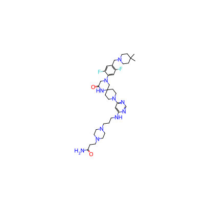 CC1(C)CCN(Cc2cc(F)c(N3CC(=O)NC4(CCN(c5cc(NCCCN6CCN(CCC(N)=O)CC6)ncn5)CC4)C3)cc2F)CC1